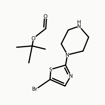 Brc1cnc(N2CCNCC2)s1.CC(C)(C)OC=O